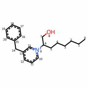 CCCCCCC(CO)[n+]1cccc(Cc2ccccc2)c1